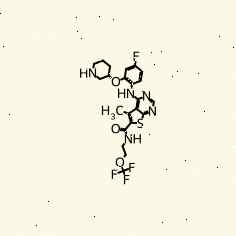 Cc1c(C(=O)NCCOC(F)(F)F)sc2ncnc(Nc3ccc(F)cc3OC3CCCNC3)c12